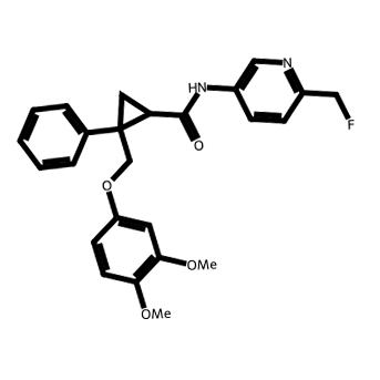 COc1ccc(OCC2(c3ccccc3)CC2C(=O)Nc2ccc(CF)nc2)cc1OC